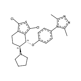 Cc1nnc(C)n1-c1ccc(O[C@H]2c3c(Cl)sc(Cl)c3CC[C@@H]2N2CCCC2)cc1